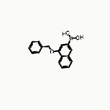 OB(O)c1cc(OCc2ccccc2)c2ccccc2c1